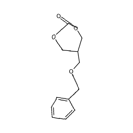 O=C1OCC(COCc2ccccc2)CO1